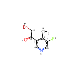 Cc1c(F)cncc1C(=O)CBr